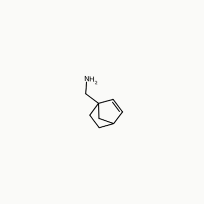 NCC12C=CC(CC1)C2